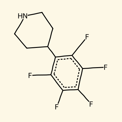 Fc1c(F)c(F)c(C2CCNCC2)c(F)c1F